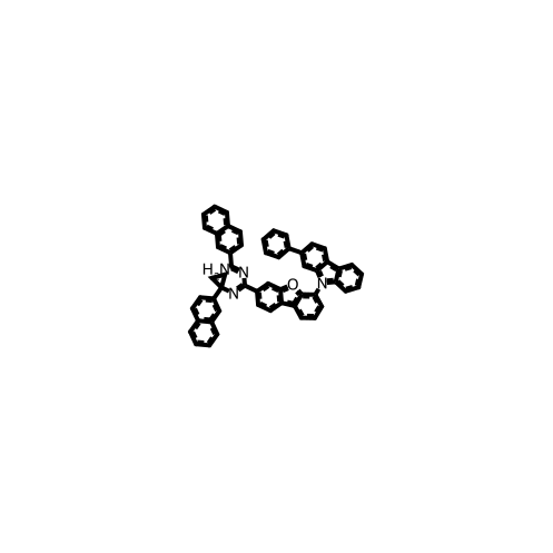 N/C(=N\C(=N/C1(c2ccc3ccccc3c2)CC1)c1ccc2c(c1)oc1c(-n3c4ccccc4c4ccc(-c5ccccc5)cc43)cccc12)c1ccc2ccccc2c1